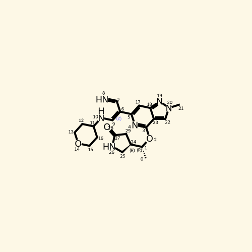 C[C@@H](Oc1nc(/C(C=N)=C/NC2CCOCC2)cc2nn(C)cc12)[C@H]1CNC(=O)C1